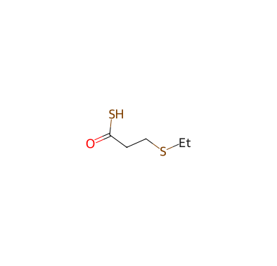 CCSCCC(=O)S